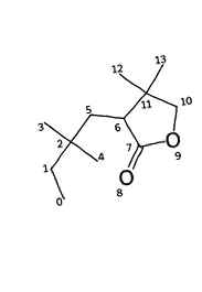 CCC(C)(C)CC1C(=O)OCC1(C)C